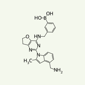 Cc1cc2c(CN)cccc2n1-c1nc2c(c(NCc3cccc(B(O)O)c3)n1)OCC2